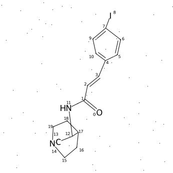 O=C(C=Cc1ccc(I)cc1)NC1CN2CCC1CC2